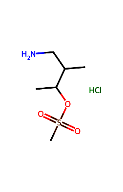 CC(CN)C(C)OS(C)(=O)=O.Cl